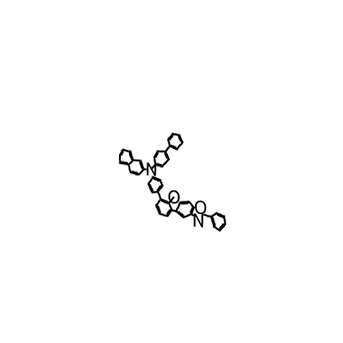 c1ccc(-c2ccc(N(c3ccc(-c4cccc5c4oc4cc6oc(-c7ccccc7)nc6cc45)cc3)c3ccc4ccccc4c3)cc2)cc1